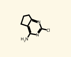 Nc1nc(Cl)nc2c1CCC2